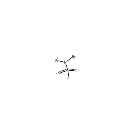 CCN(C(C)C)S(C)(=O)=O